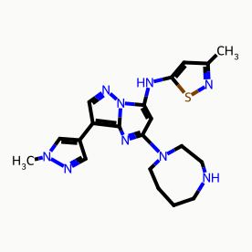 Cc1cc(Nc2cc(N3CCCCNCC3)nc3c(-c4cnn(C)c4)cnn23)sn1